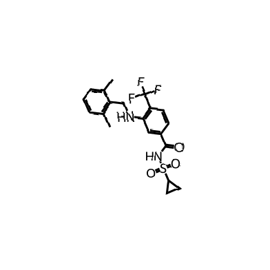 Cc1cccc(C)c1CNc1cc(C(=O)NS(=O)(=O)C2CC2)ccc1C(F)(F)F